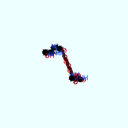 CC(c1ccc(C(=O)NCCOCCOCCOCCOCCNc2cccc3c2C(=O)N(C2CCC(=O)NC2=O)C3=O)cc1)n1cc(-c2cc(-c3ccccc3O)nnc2N)cn1